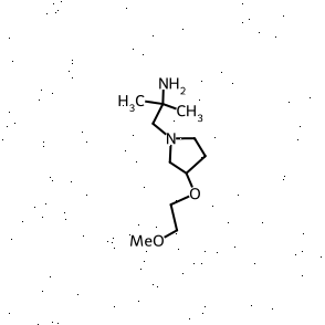 COCCOC1CCN(CC(C)(C)N)C1